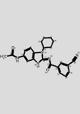 CC(=O)Nc1ccc2c(c1)[nH]/c(=N\C(=O)c1cccc(C#N)c1)n2C1CCCCC1